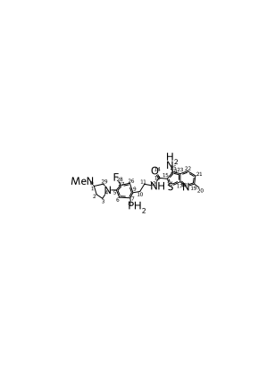 CN[C@H]1CCN(c2cc(P)c(CCNC(=O)c3sc4nc(C)ccc4c3N)cc2F)C1